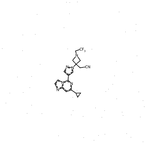 N#CCC1(n2cc(-c3nc(C4CC4)cc4nccn34)cn2)CN(CC(F)(F)F)C1